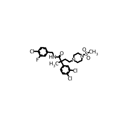 CC(CCN1CCN(S(C)(=O)=O)CC1)(C(=O)NCc1ccc(Cl)c(F)c1)c1ccc(Cl)c(Cl)c1